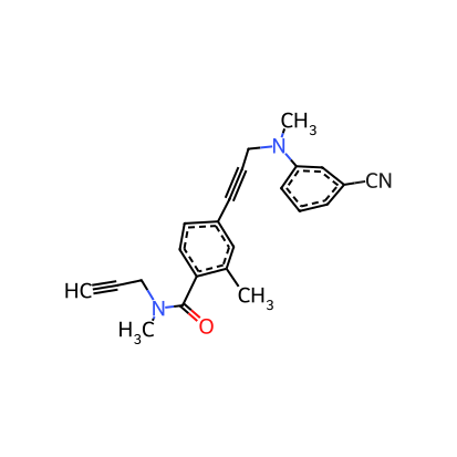 C#CCN(C)C(=O)c1ccc(C#CCN(C)c2cccc(C#N)c2)cc1C